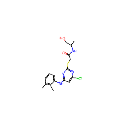 Cc1cccc(Nc2cc(Cl)nc(SCC(=O)NC(C)CO)n2)c1C